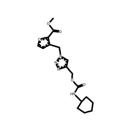 COC(=O)c1occc1Cn1cc(COC(=O)NC2CCCCC2)nn1